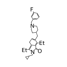 CCC1=C2C(=O)N(CC3CC3)C(CC)=C2CC=C1CC1CCN(Cc2cccc(F)c2)CC1